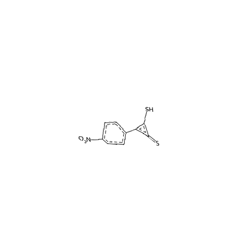 O=[N+]([O-])c1ccc(-c2c(S)c2=S)cc1